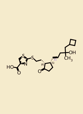 CC(O)(C/C=C/[C@@H]1CCC(=O)[C@@H]1CCSc1nc(C(=O)O)cs1)CC1CCC1